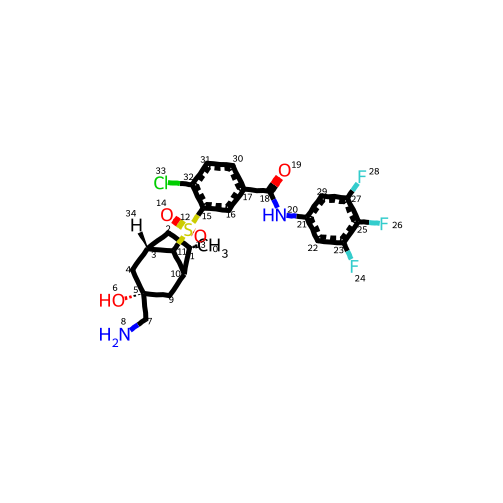 C[C@H]1C[C@H]2C[C@](O)(CN)CC1C2S(=O)(=O)c1cc(C(=O)Nc2cc(F)c(F)c(F)c2)ccc1Cl